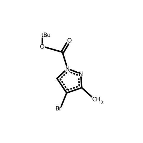 Cc1nn(C(=O)OC(C)(C)C)cc1Br